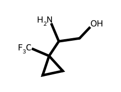 NC(CO)C1(C(F)(F)F)CC1